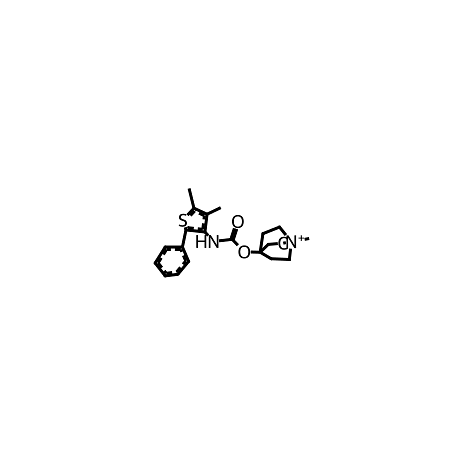 Cc1sc(-c2ccccc2)c(NC(=O)OC23CC[N+](C)(CC2)CC3)c1C